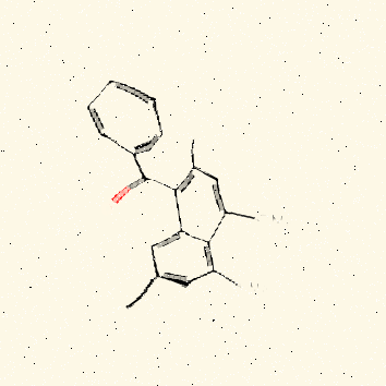 COc1cc(C)cc2c(C(=O)c3ccccc3)c(C)cc(OC)c12